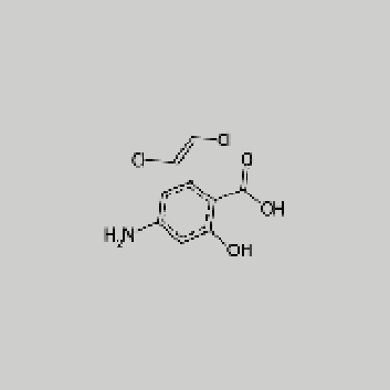 ClC=CCl.Nc1ccc(C(=O)O)c(O)c1